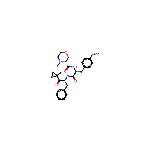 COc1ccc(C[C@H](NC(=O)[C@H]2COCCN2C)C(=O)N[C@@H](Cc2ccccc2)C(=O)C2(C)CC2)cc1